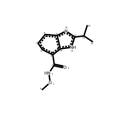 CONC(=O)c1cccc2nc(C(C)C)[nH]c12